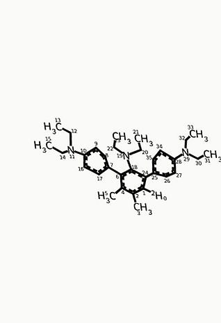 [2H]c1c(C)c(C)c(-c2ccc(N(CC)CC)cc2)c(N(CC)CC)c1-c1ccc(N(CC)CC)cc1